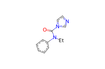 CCN(C(=O)n1ccnc1)c1ccccc1